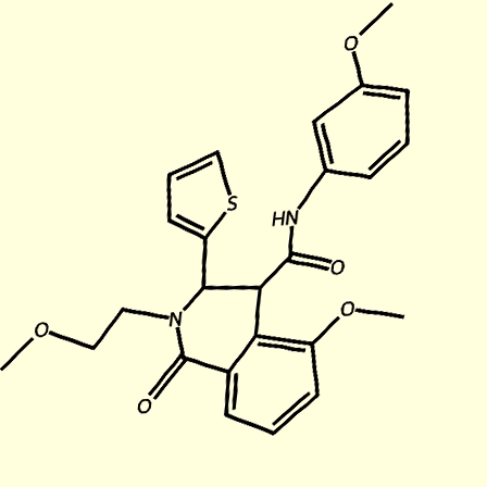 COCCN1C(=O)c2cccc(OC)c2C(C(=O)Nc2cccc(OC)c2)C1c1cccs1